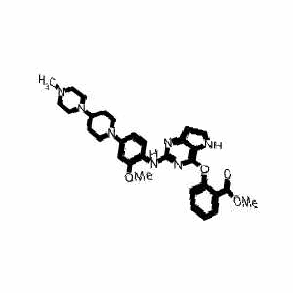 COC(=O)c1ccccc1Oc1nc(Nc2ccc(N3CCC(N4CCN(C)CC4)CC3)cc2OC)nc2cc[nH]c12